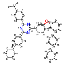 CC(C)c1ccc(-c2nc(-c3ccc(-c4ccccc4)cc3)nc(-c3ccc4c(c3)oc3cccc(-c5ccc(-c6ccccc6)cc5)c34)n2)cc1